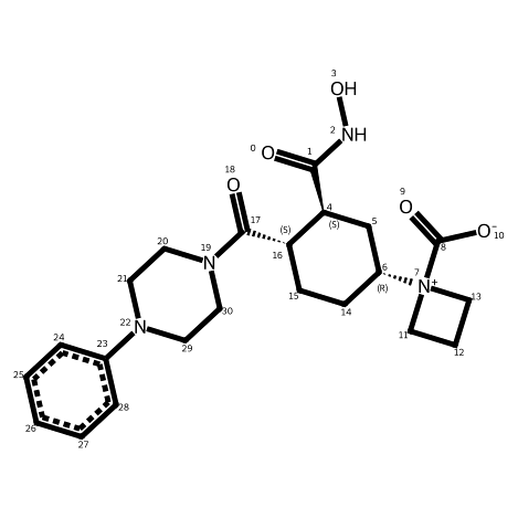 O=C(NO)[C@H]1C[C@H]([N+]2(C(=O)[O-])CCC2)CC[C@@H]1C(=O)N1CCN(c2ccccc2)CC1